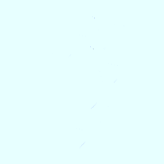 [C-]#[N+]c1c(C(F)(F)F)cc(-c2ccc(Oc3ccc(-c4ccccc4)cc3)cc2)n(Cc2ccc(C)cc2C)c1=O